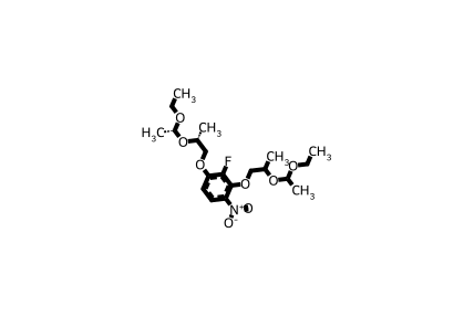 CCOC(C)OC(C)COc1c([N+](=O)[O-])ccc(OC[C@@H](C)O[C@H](C)OCC)c1F